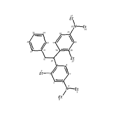 CCc1cc(N(CC)CC)ccc1C(Cc1ccccc1)c1ccc(N(CC)CC)cc1CC